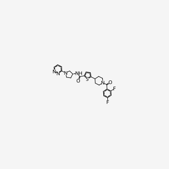 O=C(N[C@H]1CCN(c2cccnn2)C1)c1ccc(C2CCN(C(=O)c3ccc(F)cc3F)CC2)s1